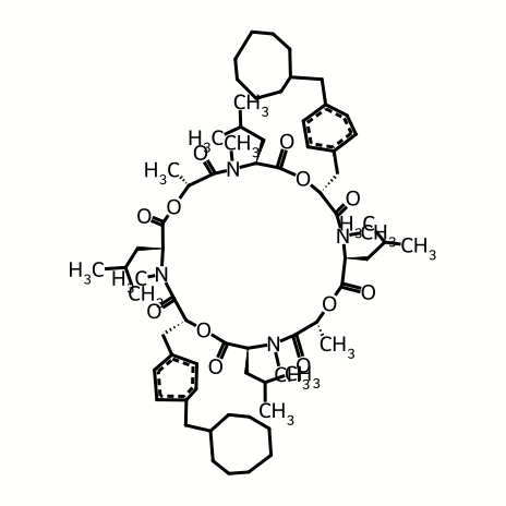 CC(C)C[C@H]1C(=O)O[C@H](Cc2ccc(CC3CCCCCCC3)cc2)C(=O)N(C)[C@@H](CC(C)C)C(=O)O[C@H](C)C(=O)N(C)[C@@H](CC(C)C)C(=O)O[C@H](Cc2ccc(CC3CCCCCCC3)cc2)C(=O)N(C)[C@@H](CC(C)C)C(=O)O[C@H](C)C(=O)N1C